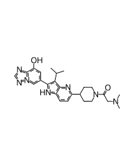 CC(C)c1c(-c2cc(O)c3ncnn3c2)[nH]c2ccc(C3CCN(C(=O)CN(C)C)CC3)nc12